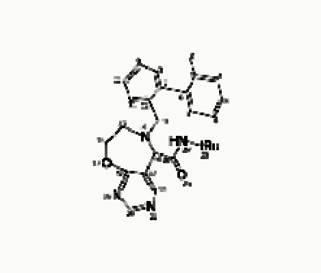 Cc1ccccc1-c1ccccc1CN1CCOc2ncncc2C1C(=O)NC(C)(C)C